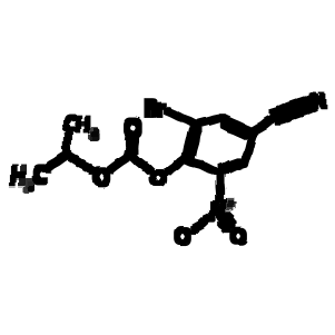 CC(C)OC(=O)Oc1c(Br)cc(C#N)cc1[N+](=O)[O-]